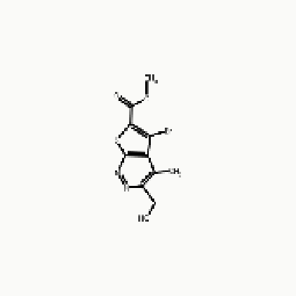 COC(=O)c1sc2nnc(CO)c(C)c2c1Br